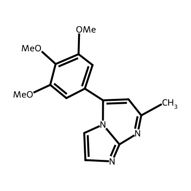 COc1cc(-c2cc(C)nc3nccn23)cc(OC)c1OC